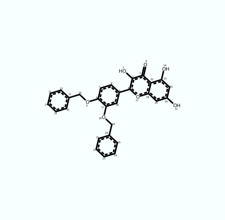 O=c1c(O)c(-c2ccc(OCc3ccccc3)c(OCc3ccccc3)c2)oc2cc(O)cc(O)c12